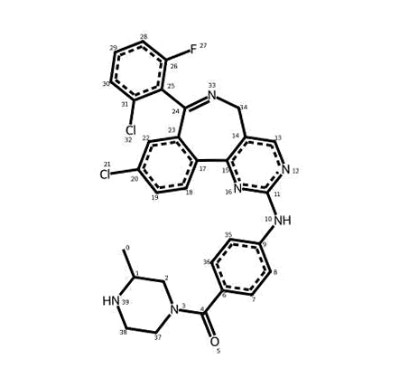 CC1CN(C(=O)c2ccc(Nc3ncc4c(n3)-c3ccc(Cl)cc3C(c3c(F)cccc3Cl)=NC4)cc2)CCN1